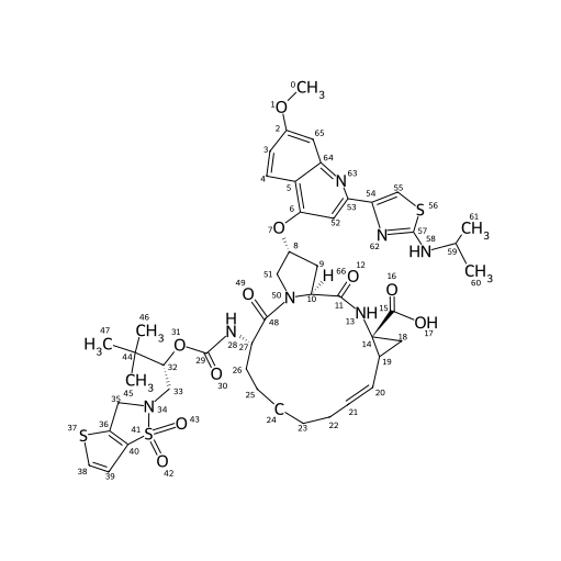 COc1ccc2c(O[C@@H]3C[C@H]4C(=O)N[C@]5(C(=O)O)CC5/C=C\CCCCC[C@H](NC(=O)O[C@H](CN5Cc6sccc6S5(=O)=O)C(C)(C)C)C(=O)N4C3)cc(-c3csc(NC(C)C)n3)nc2c1